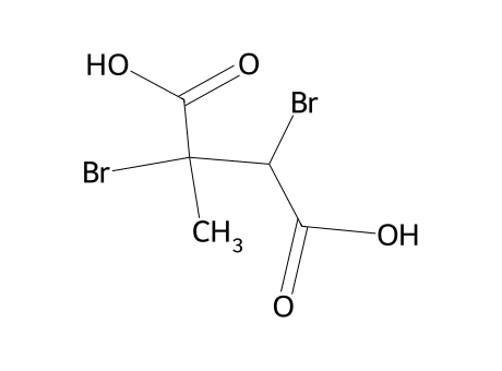 CC(Br)(C(=O)O)C(Br)C(=O)O